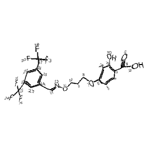 O=C(O)c1ccc(OCCCO/N=C/c2cc(C(F)(F)F)cc(C(F)(F)F)c2)cc1O